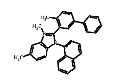 Cc1ccc2c(c1)[n+](C)c(-c1cc(-c3ccccc3)ccc1C)n2-c1cccc2ccccc12